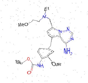 CCN(CCOC)Cc1cc(-c2ccc(NC(=O)OC(C)(C)C)c(OC)c2)c2c(N)ncnn12